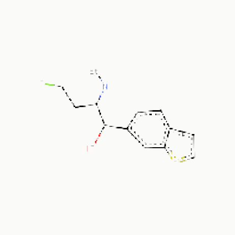 CCNC(CCF)C(O)c1ccc2ccsc2c1